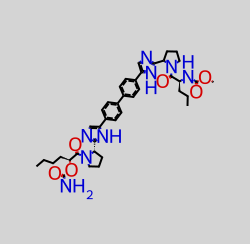 CCCC[C@H](OC(N)=O)C(=O)N1CCC[C@H]1c1ncc(-c2ccc(-c3ccc(-c4cnc(C5CCCN5C(=O)[C@H](CCC)NC(=O)OC)[nH]4)cc3)cc2)[nH]1